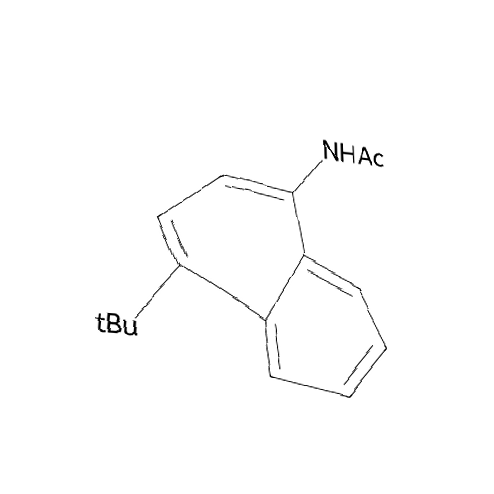 CC(=O)Nc1ccc(C(C)(C)C)c2ccccc12